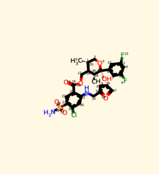 C[C@@H]1CO[C@@](O)(c2cc(F)cc(F)c2)[C@H](C)C1COC(=O)c1cc(S(N)(=O)=O)c(Cl)cc1NCc1ccco1